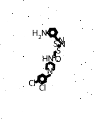 Nc1cccc(-c2nnc(SCC(=O)NC3CCN(Cc4ccc(Cl)c(Cl)c4)CC3)s2)c1